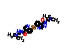 CN(C)CCNC(=O)c1ccnc2c(SSc3cccc4c(C(=O)NCCN(C)C)ccnc34)cccc12